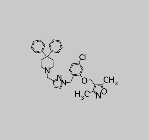 Cc1noc(C)c1COc1cc(Cl)ccc1Cn1ccc(CN2CCC(c3ccccc3)(c3ccccc3)CC2)n1